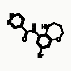 O=C(Nc1cc(Br)cc2c1NCCCO2)c1ccnnc1